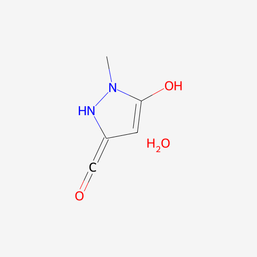 CN1NC(=C=O)C=C1O.O